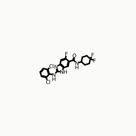 O=C(NC1CCC(F)(F)CC1)c1cc2[nH]c(Nc3c(Cl)cccc3Cl)nc2cc1F